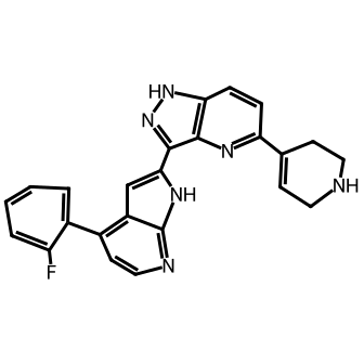 Fc1ccccc1-c1ccnc2[nH]c(-c3n[nH]c4ccc(C5=CCNCC5)nc34)cc12